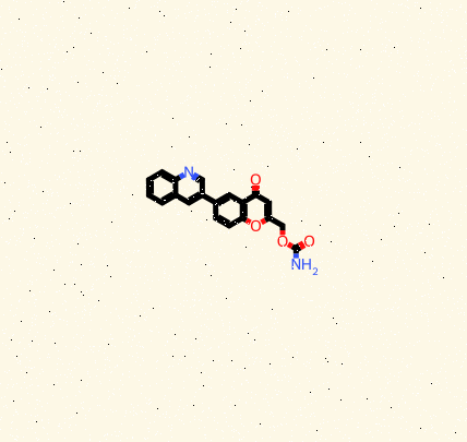 NC(=O)OCc1cc(=O)c2cc(-c3cnc4ccccc4c3)ccc2o1